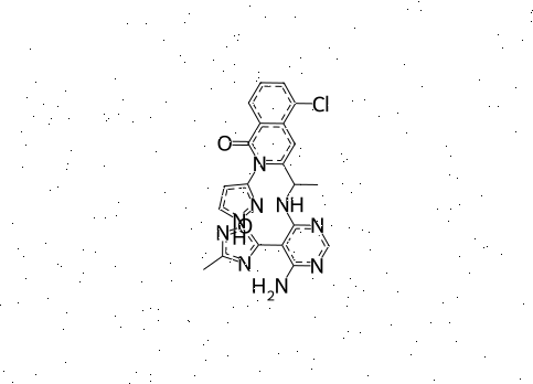 Cc1noc(-c2c(N)ncnc2NC(C)c2cc3c(Cl)cccc3c(=O)n2-c2cc[nH]n2)n1